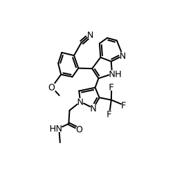 CNC(=O)Cn1cc(-c2[nH]c3ncccc3c2-c2cc(OC)ccc2C#N)c(C(F)(F)F)n1